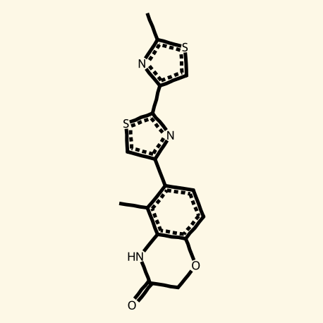 Cc1nc(-c2nc(-c3ccc4c(c3C)NC(=O)CO4)cs2)cs1